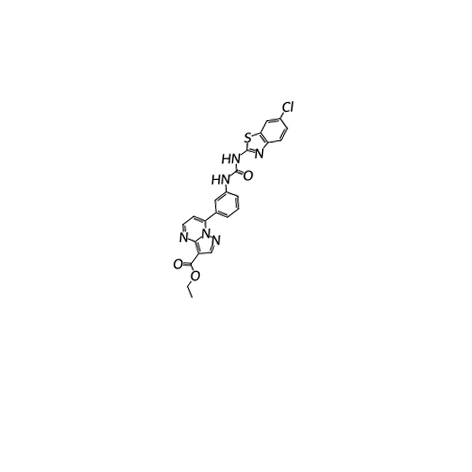 CCOC(=O)c1cnn2c(-c3cccc(NC(=O)Nc4nc5ccc(Cl)cc5s4)c3)ccnc12